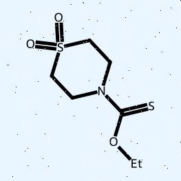 CCOC(=S)N1CCS(=O)(=O)CC1